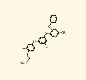 Cc1cc(Oc2cc(Cl)cc(Oc3ccc(C(F)(F)F)cc3Oc3ccccc3)c2)ccc1CCC(=O)O